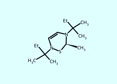 CCC(C)(C)N1C=CN(C(C)(C)CC)[C@@H](C)S1